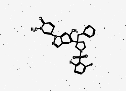 Cc1cc2c(cnn2-c2ccc(=O)n(C)c2)cc1C1(Cc2ccccc2)CCN(S(=O)(=O)c2c(F)cccc2F)C1